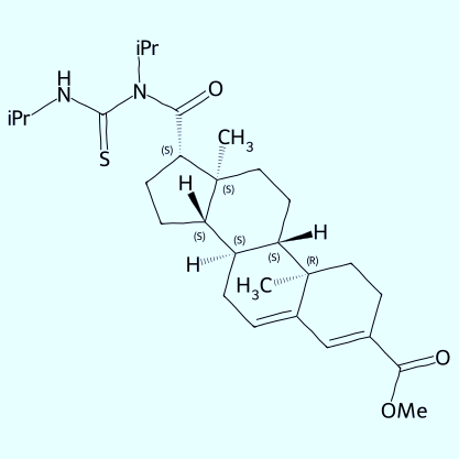 COC(=O)C1=CC2=CC[C@H]3[C@@H]4CC[C@H](C(=O)N(C(=S)NC(C)C)C(C)C)[C@@]4(C)CC[C@@H]3[C@@]2(C)CC1